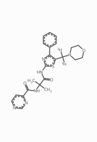 [2H]C([2H])(c1sc(NC(=O)C(C)(C)NC(=O)c2ccncn2)nc1-c1ccccc1)N1CCOCC1